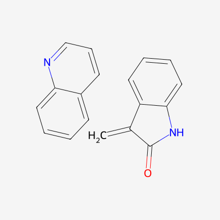 C=C1C(=O)Nc2ccccc21.c1ccc2ncccc2c1